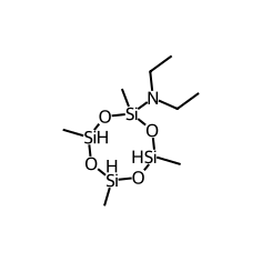 CCN(CC)[Si]1(C)O[SiH](C)O[SiH](C)O[SiH](C)O1